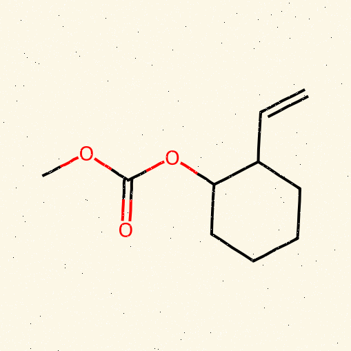 C=CC1CCCCC1OC(=O)OC